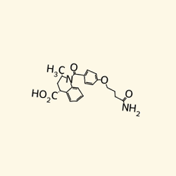 C[C@H]1C[C@@H](C(=O)O)c2ccccc2N1C(=O)c1ccc(OCCCC(N)=O)cc1